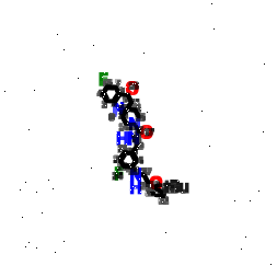 CN1c2ccc(F)cc2C(=O)CC12CCN(C(=O)NCc1ccc(F)c(NCCO[Si](C)(C)C(C)(C)C)c1)CC2